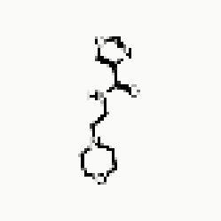 O=C(NCCN1CCOCC1)c1cocn1